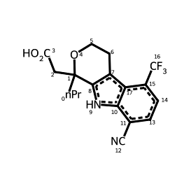 CCCC1(CC(=O)O)OCCc2c1[nH]c1c(C#N)ccc(C(F)(F)F)c21